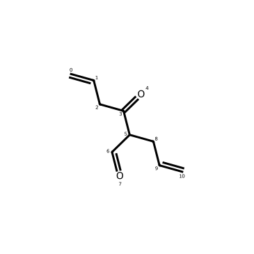 C=CCC(=O)C(C=O)CC=C